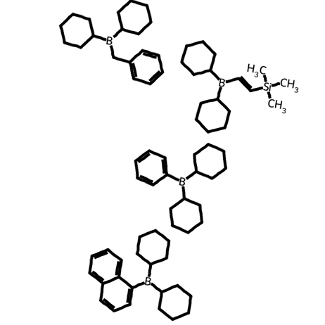 C[Si](C)(C)C=CB(C1CCCCC1)C1CCCCC1.c1ccc(B(C2CCCCC2)C2CCCCC2)cc1.c1ccc(CB(C2CCCCC2)C2CCCCC2)cc1.c1ccc2c(B(C3CCCCC3)C3CCCCC3)cccc2c1